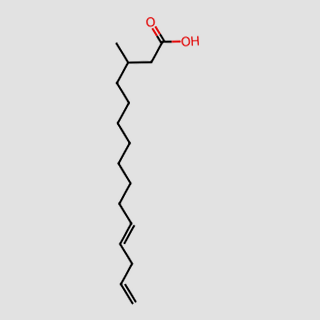 C=CCC=CCCCCCCCC(C)CC(=O)O